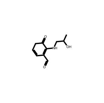 CC(O)CNC1=C(C=O)C=CCC1=O